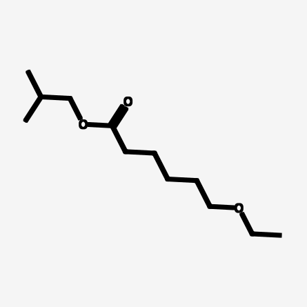 CCOCCCCCC(=O)OCC(C)C